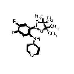 CC1(C)OB(c2cc(F)c(F)cc2NC2CCOCC2)OC1(C)C